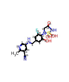 Cc1ncc(NCc2cc(O)c(N3CC(=O)NS3(O)O)c(F)c2)cc1C#N